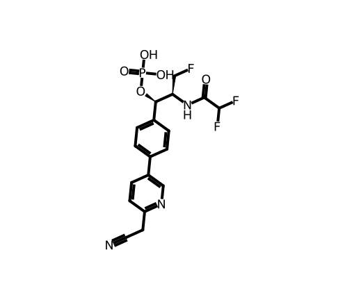 N#CCc1ccc(-c2ccc([C@@H](OP(=O)(O)O)[C@@H](CF)NC(=O)C(F)F)cc2)cn1